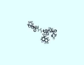 O=C(CCCC/C=C(\COc1cccc2ccccc12)C(=O)NC1CCN(C(=O)C2CCCCC2)C1)NOC1CCCCO1